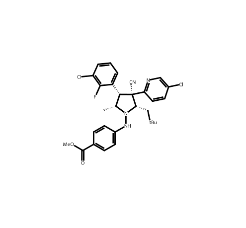 COC(=O)c1ccc(NN2[C@H](C)[C@H](c3cccc(Cl)c3F)[C@@](C#N)(c3ccc(Cl)cn3)[C@@H]2CC(C)(C)C)cc1